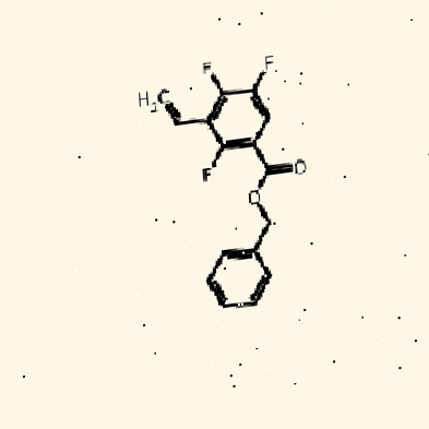 C=Cc1c(F)c(F)cc(C(=O)OCc2ccccc2)c1F